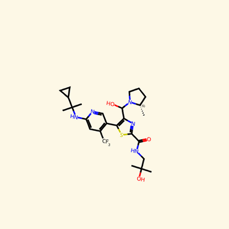 C[C@H]1CCCN1C(O)c1nc(C(=O)NCC(C)(C)O)sc1-c1cnc(NC(C)(C)C2CC2)cc1C(F)(F)F